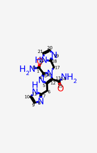 NC(=O)c1nc(Cc2ncc[nH]2)c(C(N)=O)n1Cc1ncc[nH]1